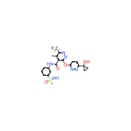 Cc1c(C(F)(F)F)nnc(Oc2ccc(C3(O)CC3)nn2)c1C(=O)Nc1cccc(S(C)(=N)=O)c1